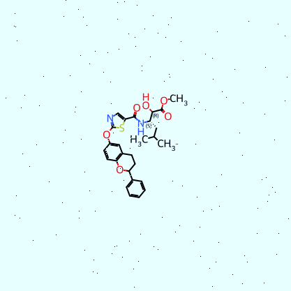 COC(=O)[C@H](O)[C@H](CC(C)C)NC(=O)c1cnc(Oc2ccc3c(c2)CCC(c2ccccc2)O3)s1